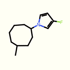 CC1CCCCC(n2ccc(F)c2)CC1